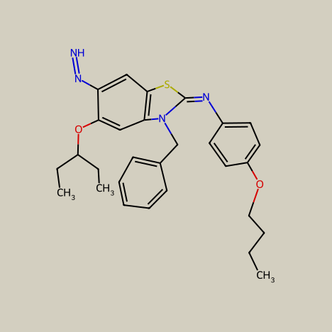 CCCCOc1ccc(N=c2sc3cc(N=N)c(OC(CC)CC)cc3n2Cc2ccccc2)cc1